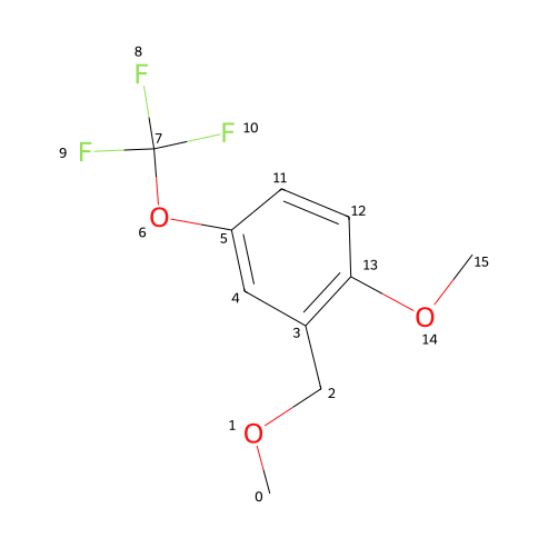 COCc1cc(OC(F)(F)F)ccc1OC